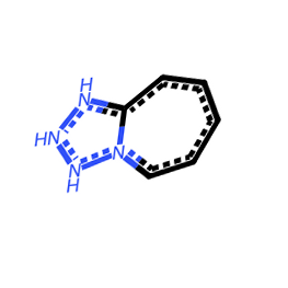 c1ccc2[nH][nH][nH]n-2cc1